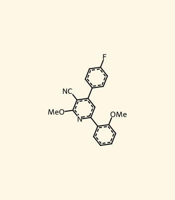 COc1ccccc1-c1cc(-c2ccc(F)cc2)c(C#N)c(OC)n1